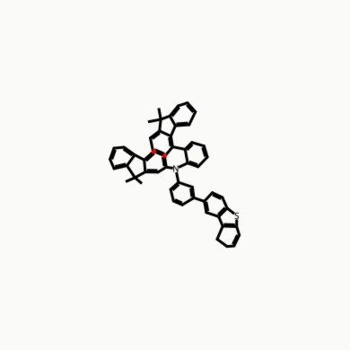 CC1(C)c2ccccc2-c2ccc(N(c3cccc(-c4ccc5sc6c(c5c4)CCC=C6)c3)c3ccccc3-c3cccc4c3-c3ccccc3C4(C)C)cc21